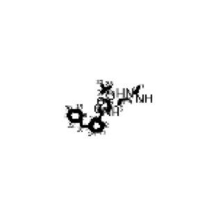 CC(=N)NCCC[C@H](NC(=O)c1cccc(Cc2ccccc2)c1)C(=O)OC(C)(C)C